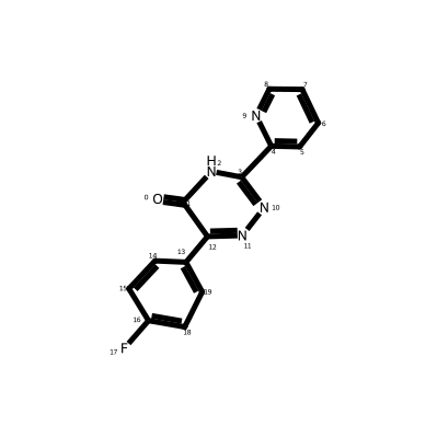 O=c1[nH]c(-c2ccccn2)nnc1-c1ccc(F)cc1